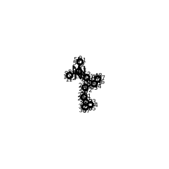 c1ccc(-c2nc(-c3ccccc3)nc(-c3ccc(-c4c(-c5cccc(-c6ccc7c(c6)-c6cccc8cccc-7c68)c5)ccc5ccccc45)cc3)n2)cc1